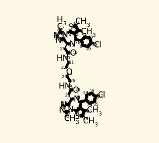 Cc1sc2c(c1C)C(c1ccc(Cl)cc1)=N[C@@H](CC(=O)NCCOCCNC(=O)C[C@@H]1N=C(c3ccc(Cl)cc3)c3c(sc(C)c3C)-n3c(C)nnc31)c1nnc(C)n1-2